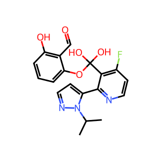 CC(C)n1nccc1-c1nccc(F)c1C(O)(O)Oc1cccc(O)c1C=O